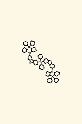 c1ccc(C2(c3ccccc3)c3ccccc3N(c3ccc4oc5ccc([Si](c6ccccc6)(c6ccccc6)c6ccc7oc8ccc(N9c%10ccccc%10C(c%10ccccc%10)(c%10ccccc%10)c%10ccccc%109)cc8c7c6)cc5c4c3)c3ccccc32)cc1